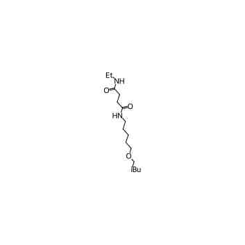 CCNC(=O)CCC(=O)NCCCCCOCC(C)CC